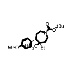 CC[C@@]1(C(=O)O)CCN(C(=O)OC(C)(C)C)CC[C@H]1c1ccc(OC)cc1